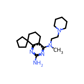 CN(CCN1CCCCC1)c1nc(N)nc2c1CCCC21CCCC1